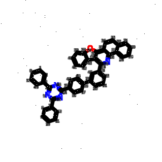 c1ccc(-c2nc(-c3ccccc3)nc(-c3ccc(-c4cccc(-c5nc6c7ccccc7ccc6c6oc7ccccc7c56)c4)cc3)n2)cc1